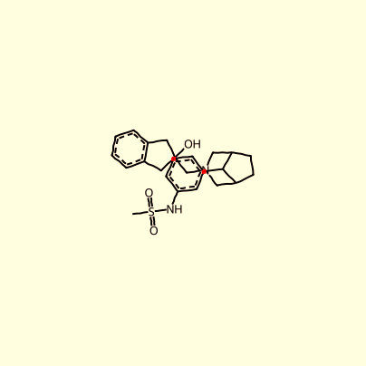 CS(=O)(=O)Nc1cccc(C2C3CCC2CN(CC2(O)Cc4ccccc4C2)C3)c1